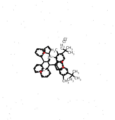 Cc1cc2c(cc1C(C)(C)C)-c1cc(C(C)(C)C)c(C)[c]([Zr+2](=[C](C(c3ccccc3)c3ccccc3)C(c3ccccc3)c3ccccc3)[CH]3C=CC=C3)c1C2.[Cl-].[Cl-]